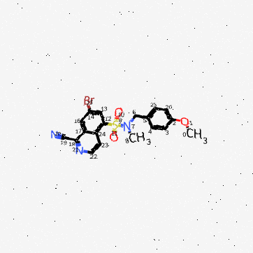 COc1ccc(CN(C)S(=O)(=O)c2cc(Br)cc3c(C#N)nccc23)cc1